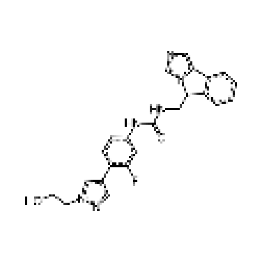 O=C(NCC1c2ccccc2-c2cncn21)Nc1ccc(-c2cnn(CCO)c2)c(F)c1